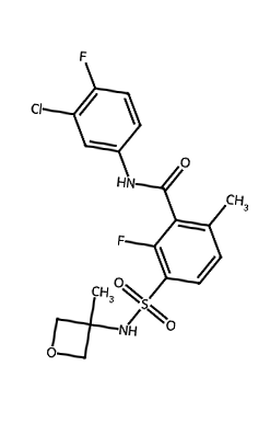 Cc1ccc(S(=O)(=O)NC2(C)COC2)c(F)c1C(=O)Nc1ccc(F)c(Cl)c1